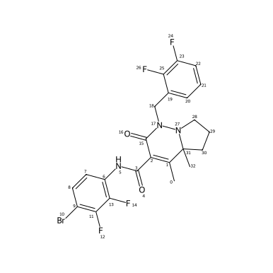 CC1=C(C(=O)Nc2ccc(Br)c(F)c2F)C(=O)N(Cc2cccc(F)c2F)N2CCCC12C